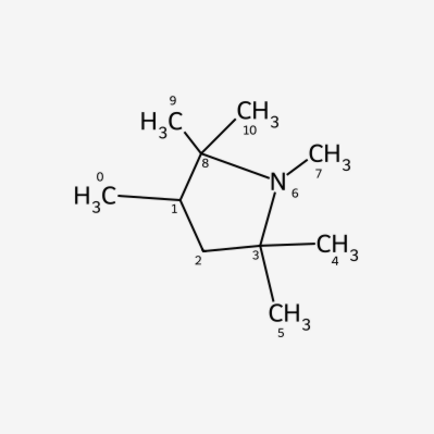 CC1CC(C)(C)N(C)C1(C)C